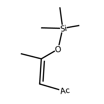 CC(=O)/C=C(/C)O[Si](C)(C)C